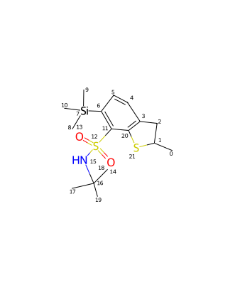 CC1Cc2ccc([Si](C)(C)C)c(S(=O)(=O)NC(C)(C)C)c2S1